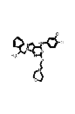 CC(Cn1ncc2c(Nc3cccc(O)c3)nc(SCCN3CCOCC3)nc21)c1ccccc1.Cl